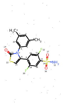 Cc1cc(C)cc(-n2c(-c3cc(F)c(S(N)(=O)=O)cc3F)csc2=O)c1